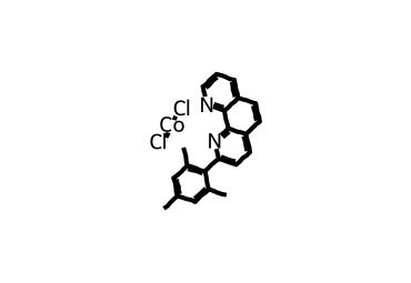 Cc1cc(C)c(-c2ccc3ccc4cccnc4c3n2)c(C)c1.[Cl][Co][Cl]